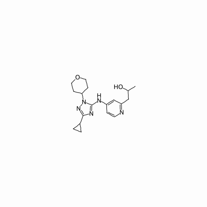 CC(O)Cc1cc(Nc2nc(C3CC3)nn2C2CCOCC2)ccn1